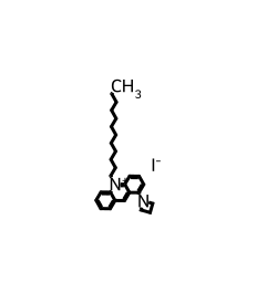 CCCCCCCCCCCC[n+]1c2ccccc2cc2c(N3CCC3)cccc21.[I-]